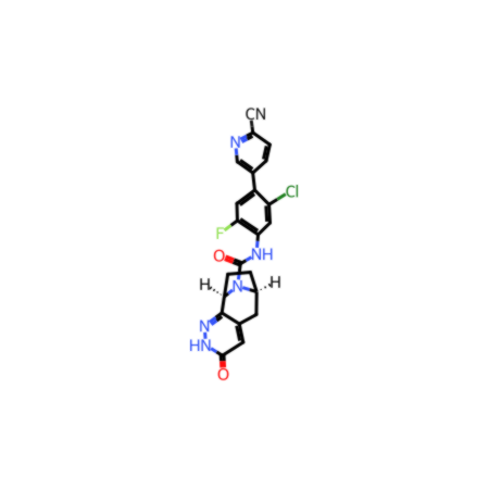 N#Cc1ccc(-c2cc(F)c(NC(=O)N3[C@H]4CC[C@@H]3c3n[nH]c(=O)cc3C4)cc2Cl)cn1